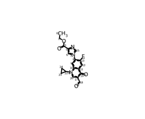 CCOC(=O)c1cn(-c2cc3c(cc2F)c(=O)c(C=O)cn3C2CC2)cn1